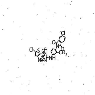 Cc1cc(NC(=NC#N)NS(=O)(=O)c2ccc(Cl)s2)ccc1N1C(=O)c2ccc(Cl)cc2C1=O